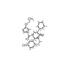 CCOc1ccn(C(=O)c2cc(-c3ccccc3)c(=O)n3c2-c2cc(Cl)ccc2CC3)c1